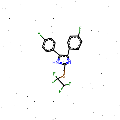 Fc1ccc(-c2nc(SC(F)(F)C(F)F)[nH]c2-c2ccc(F)cc2)cc1